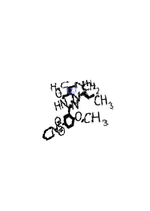 C=C(CCC)N1N=C(c2cc(S(=O)(=O)N3CCCCC3)ccc2OCC)NC(=O)/C1=C(\C)N